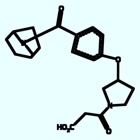 O=C(O)CC(=O)N1CCC(Oc2ccc(C(=O)N3CC4CCC(CC4)C3)cc2)C1